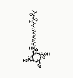 CN(C)C(=O)CCC(=O)NCCCOCCOCCOCCCNC(=O)CN1CCN(CC(=O)O)CCN(CC=O)CCN(CC(=O)O)CC1